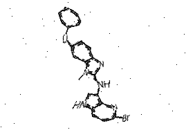 Cn1c(Nc2c[nH]c3ccc(Br)nc23)nc2ccc(Oc3ccccc3)cc21